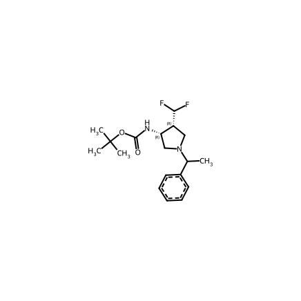 CC(c1ccccc1)N1C[C@H](NC(=O)OC(C)(C)C)[C@H](C(F)F)C1